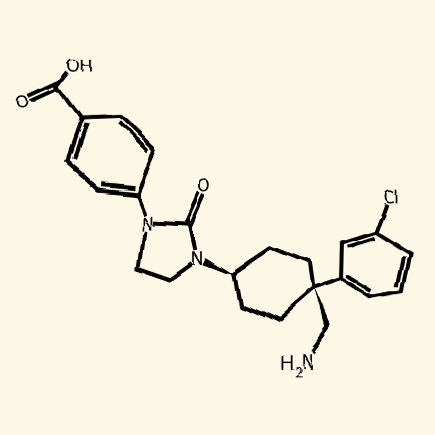 NC[C@]1(c2cccc(Cl)c2)CC[C@H](N2CCN(c3ccc(C(=O)O)cc3)C2=O)CC1